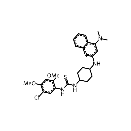 COc1cc(OC)c(NC(=S)NC2CCC(Nc3cc(N(C)C)c4ccccc4n3)CC2)cc1Cl